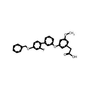 COc1cc(CC(=O)O)cc(Oc2cccc(-c3ccc(OCc4ccccc4)cc3F)c2)c1